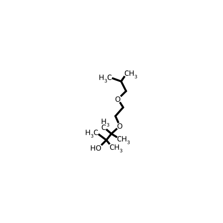 CC(C)COCCOC(C)(C)C(C)(C)O